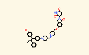 CCC(=C(c1ccc(O)cc1)c1ccc(N2CCC(CN3CCC(COc4ccc5c(c4)CN(C4CCC(=O)NC4=O)C5=O)CC3)CC2)cc1)c1ccccc1